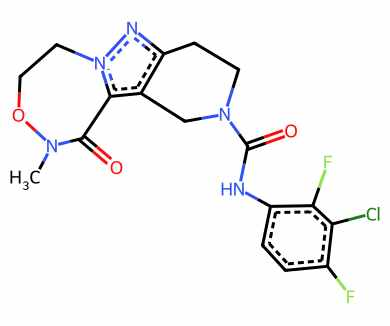 CN1OCCn2nc3c(c2C1=O)CN(C(=O)Nc1ccc(F)c(Cl)c1F)CC3